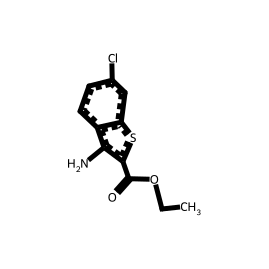 CCOC(=O)c1sc2cc(Cl)ccc2c1N